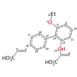 C=CC(=O)O.C=CC(=O)O.CCOc1cccc(O)c1-c1ccccc1